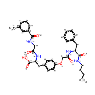 CCCCNC(=O)C(Cc1ccccc1)NC(=O)COc1ccc(CC(NC(=O)CNC(=O)c2cccc(C)c2)C(=O)O)cc1